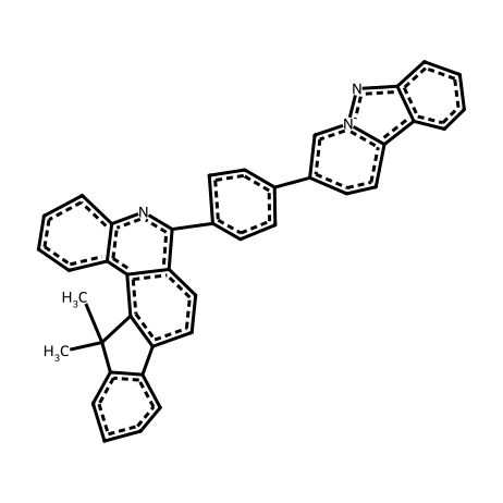 CC1(C)c2ccccc2-c2ccc3c(-c4ccc(-c5ccc6c7ccccc7nn6c5)cc4)nc4ccccc4c3c21